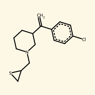 C=C(c1ccc(Cl)cc1)C1CCCN(CC2CS2)C1